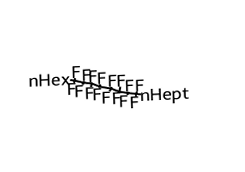 CCCCCCCC(F)(F)C(F)(F)C(F)(F)C(F)(F)C(F)(F)C(F)(F)C(F)(F)C(F)(F)CCCCCC